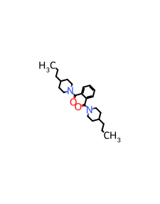 CCCC1CCN(C(=O)c2ccccc2C(=O)N2CCC(CCC)CC2)CC1